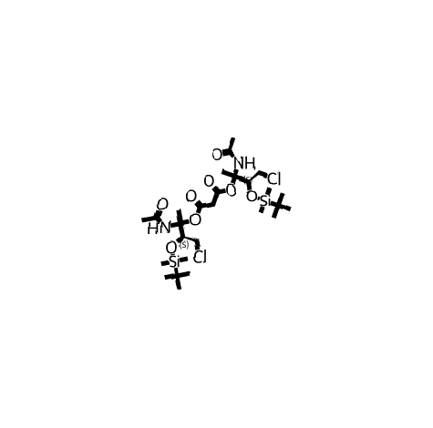 CC(=O)NC(C)(OC(=O)CC(=O)OC(C)(NC(C)=O)[C@@H](CCl)O[Si](C)(C)C(C)(C)C)[C@@H](CCl)O[Si](C)(C)C(C)(C)C